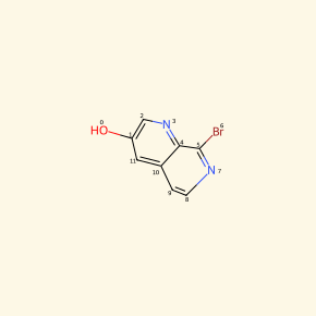 Oc1cnc2c(Br)nccc2c1